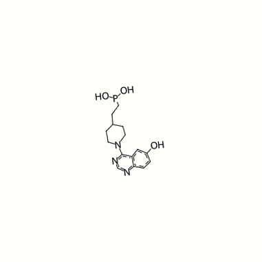 Oc1ccc2ncnc(N3CCC(CCP(O)O)CC3)c2c1